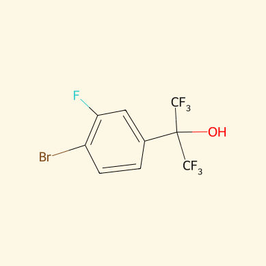 OC(c1ccc(Br)c(F)c1)(C(F)(F)F)C(F)(F)F